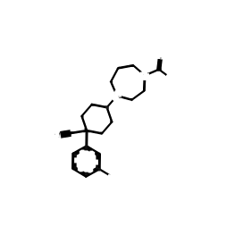 Cc1cccc(C2(C#N)CCC(N3CCCN(C(=O)O)CC3)CC2)c1